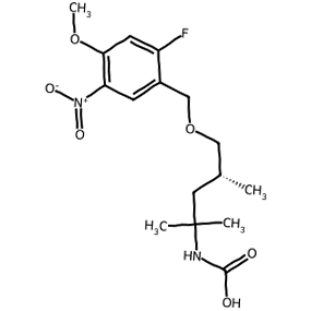 COc1cc(F)c(COC[C@H](C)CC(C)(C)NC(=O)O)cc1[N+](=O)[O-]